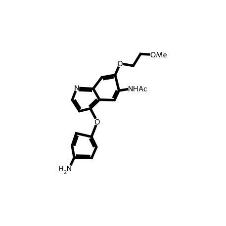 COCCOc1cc2nccc(Oc3ccc(N)cc3)c2cc1NC(C)=O